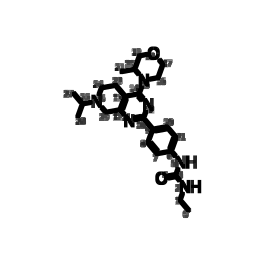 CCNC(=O)Nc1ccc(-c2nc3c(c(N4CCOCC4C)n2)CCN(C(C)C)C3)cc1